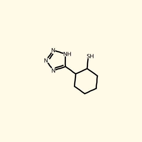 SC1CCCCC1c1nnn[nH]1